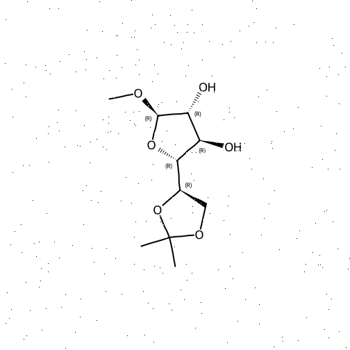 CO[C@@H]1O[C@@H]([C@H]2COC(C)(C)O2)[C@H](O)[C@H]1O